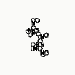 c1ccc(-n2c3cc4c(cc3c3cc5c(cc32)Sc2cc(N3CCCc6ccccc63)cc3c2B5c2cccc5c2N3CCC5)B2c3cccc5c3N(CCC5)c3cc(N5CCCc6ccccc65)cc(c32)S4)cc1